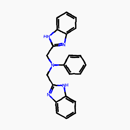 c1ccc(N(Cc2nc3ccccc3[nH]2)Cc2nc3ccccc3[nH]2)cc1